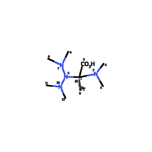 CC(C)[C@](C(=O)O)(N(C)C)N(N(C)C)N(C)C